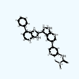 C=C(Nc1cncc(-c2cnc3[nH]nc(-c4nc5c(-c6ccccc6)ccnc5[nH]4)c3c2)c1)N(C)C